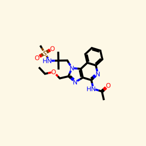 CCOCc1nc2c(NC(C)=O)nc3ccccc3c2n1CC(C)(C)NS(C)(=O)=O